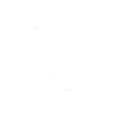 CCN1CCN(c2nc(-c3ccc(CNS(=O)(=O)CC)c(Cl)c3)cc3ccccc23)CC1.Cl